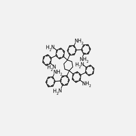 Nc1ccccc1-c1cc(C2(c3ccc(N)c(-c4ccccc4N)c3)CCC(c3ccc(N)c(-c4ccccc4N)c3)(c3ccc(N)c(-c4ccccc4N)c3)CC2)ccc1N